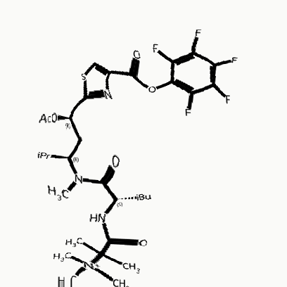 CCC(C)[C@H](NC(=O)C(C)(C)[N+](C)(C)C)C(=O)N(C)[C@H](C[C@@H](OC(C)=O)c1nc(C(=O)Oc2c(F)c(F)c(F)c(F)c2F)cs1)C(C)C